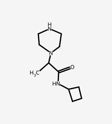 CC(C(=O)NC1CCC1)N1CCNCC1